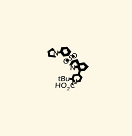 CC(C)(C)C1CC(c2cccc3cc(S(=O)(=O)c4cccc(N5CCCC5)c4)cnc23)CCN1C(=O)O